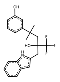 CC(C)(CC(O)(Cc1cc2ccccc2[nH]1)C(F)(F)F)c1cccc(O)c1